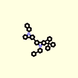 c1ccc(-c2cccc(-n3c4ccc(-c5ccc6c(c5)c5ccccc5n6-c5ccc6ccccc6c5)cc4c4cc5c(cc43)C(c3ccccc3)(c3ccccc3)c3ccccc3-5)c2)cc1